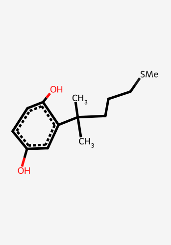 CSCCCC(C)(C)c1cc(O)ccc1O